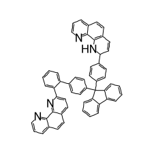 C1=CC(c2ccc(C3(c4ccc(-c5ccccc5-c5ccc6ccc7cccnc7c6n5)cc4)c4ccccc4-c4ccccc43)cc2)Nc2c1ccc1cccnc21